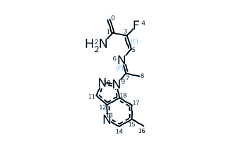 C=C(N)/C(F)=C\N=C(/C)n1ncc2ncc(C)cc21